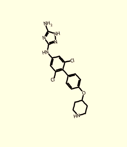 Nc1nc(Nc2cc(Cl)c(-c3ccc(OC4CCNCC4)cc3)c(Cl)c2)n[nH]1